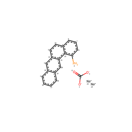 O=C([O-])[O-].Pc1cccc2ccc3cc4ccccc4cc3c12.[Na+].[Na+]